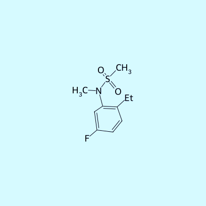 CCc1ccc(F)cc1N(C)S(C)(=O)=O